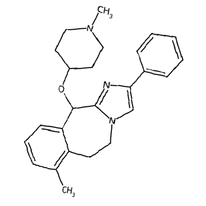 Cc1cccc2c1CCn1cc(-c3ccccc3)nc1C2OC1CCN(C)CC1